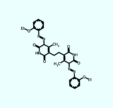 CCOc1ccccc1N=NC1C(=O)NC(=O)C(CCC2=C(C)C(N=Nc3ccccc3OCC)C(=O)NC2=O)=C1C